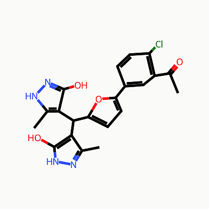 CC(=O)c1cc(-c2ccc(C(c3c(O)n[nH]c3C)c3c(C)n[nH]c3O)o2)ccc1Cl